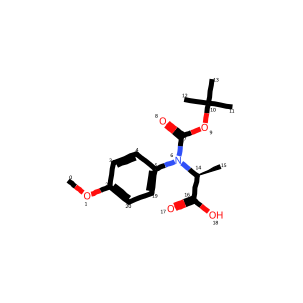 COc1ccc(N(C(=O)OC(C)(C)C)[C@@H](C)C(=O)O)cc1